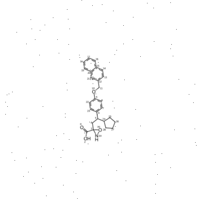 O=C(O)C1(CC(c2ccc(OCc3ccc4ccccc4n3)cc2)C2CCCC2)NO1